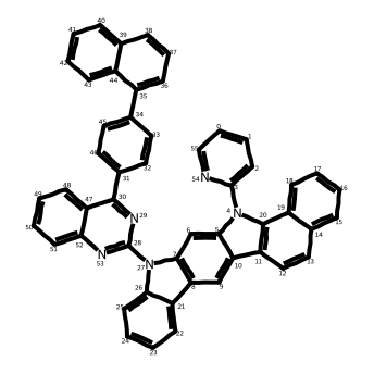 c1ccc(-n2c3cc4c(cc3c3ccc5ccccc5c32)c2ccccc2n4-c2nc(-c3ccc(-c4cccc5ccccc45)cc3)c3ccccc3n2)nc1